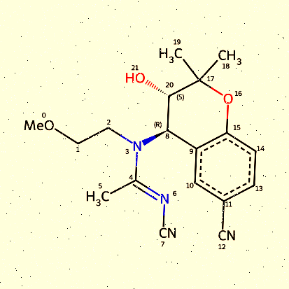 COCCN(C(C)=NC#N)[C@@H]1c2cc(C#N)ccc2OC(C)(C)[C@H]1O